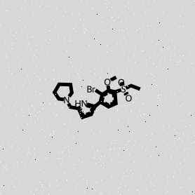 CCS(=O)(=O)c1ccc(-c2ccc(CN3CCCCC3)[nH]2)c(Br)c1OC